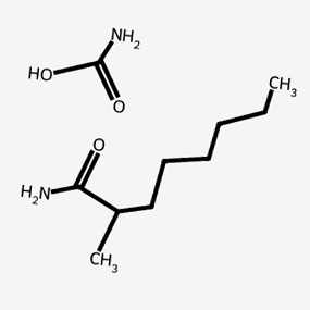 CCCCCCC(C)C(N)=O.NC(=O)O